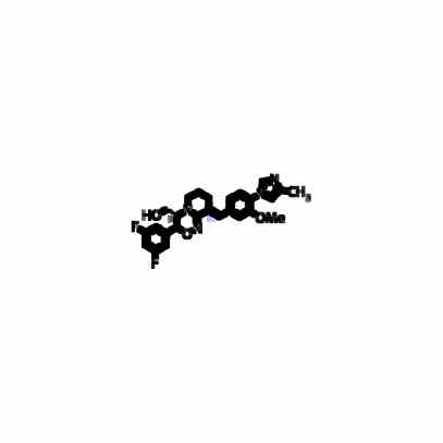 COc1cc(/C=C2\CCCN3C2=NOC(c2cc(F)cc(F)c2)[C@@H]3CO)ccc1-n1cnc(C)c1